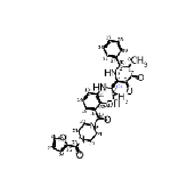 CC[C@@H](N/C(C(=O)C=O)=C(/C)Nc1cccc(C(=O)N2CCN(C(=O)c3ccco3)CC2)c1O)c1ccccc1